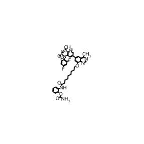 COc1ncc(-c2cc(OCCCCCCCCC(=O)Nc3ccccc3OC(N)=O)c3ncnc(C)c3c2)cc1N(c1ccc(F)cc1F)[SH](=O)=O